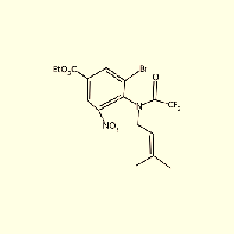 CCOC(=O)c1cc(Br)c(N(CC=C(C)C)C(=O)C(F)(F)F)c([N+](=O)[O-])c1